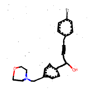 CCc1ccc(C#CC(O)c2ccc(CN3CCOCC3)cc2)cc1